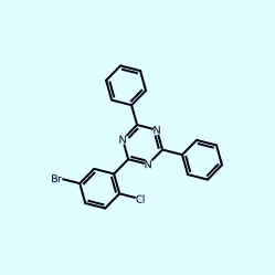 Clc1ccc(Br)cc1-c1nc(-c2ccccc2)nc(-c2ccccc2)n1